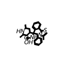 Cc1csc(-c2ccccc2C(Cc2ccccc2)(NC(=O)O)C2CC(C)NC(C)C2)n1